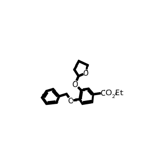 CCOC(=O)c1ccc(OCc2ccccc2)c(OC2CCCO2)c1